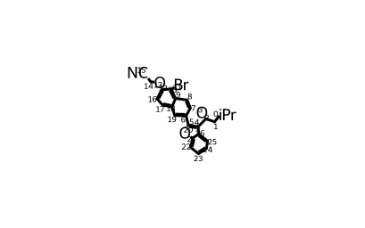 CC(C)CC(=O)c1c(-c2ccc3c(Br)c(OCC#N)ccc3c2)oc2ccccc12